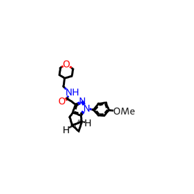 COc1ccc(-n2nc(C(=O)NCC3CCOCC3)c3c2[C@@H]2C[C@@H]2C3)cc1